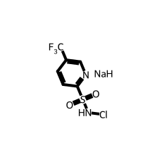 O=S(=O)(NCl)c1ccc(C(F)(F)F)cn1.[NaH]